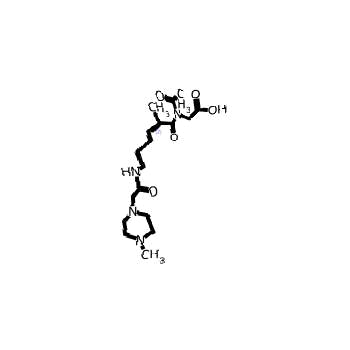 CC(=O)N(CC(=O)O)C(=O)/C(C)=C\CCCNC(=O)CN1CCN(C)CC1